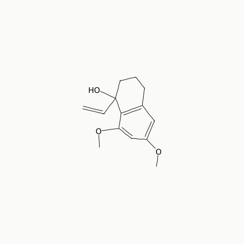 C=CC1(O)CCCc2cc(OC)cc(OC)c21